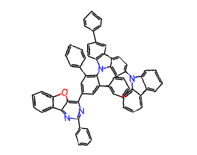 c1ccc(-c2ccc3c(c2)c2ccc(-n4c5ccccc5c5ccccc54)cc2n3-c2c(-c3ccccc3)cc(-c3nc(-c4ccccc4)nc4c3oc3ccccc34)cc2-c2ccccc2)cc1